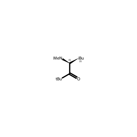 CC[C@H](C)[C@H](NC)C(=O)C(C)(C)C